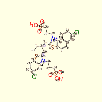 CCC(=C/c1sc2ccc3cc(Cl)ccc3c2[n+]1CCCS(=O)(=O)O)/C=C1\Sc2ccc(Cl)cc2N1CCCS(=O)(=O)O